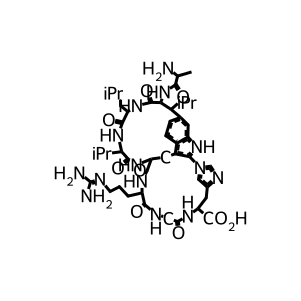 CC(C)CC1NC(=O)C(NC(=O)C(C)N)C(C(C)C)c2ccc3c4c([nH]c3c2)-n2cnc(c2)CC(C(=O)O)NC(=O)CNC(=O)C(CCCN=C(N)N)NC(=O)C(C4)NC(=O)C(C(C)C)NC1=O